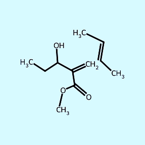 C=C(C(=O)OC)C(O)CC.CC=CC